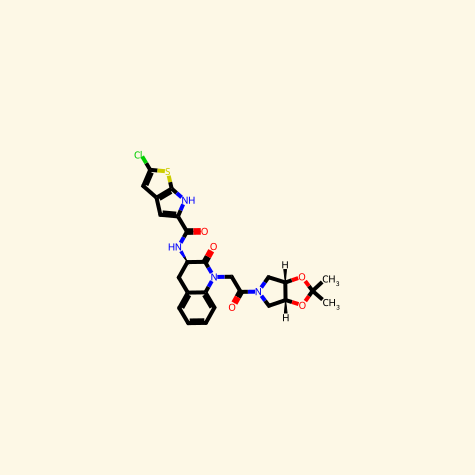 CC1(C)O[C@H]2CN(C(=O)CN3C(=O)[C@H](NC(=O)c4cc5cc(Cl)sc5[nH]4)Cc4ccccc43)C[C@H]2O1